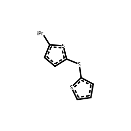 CC(C)c1ccc(Sc2cccs2)s1